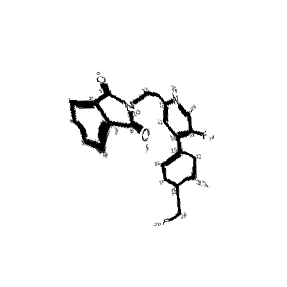 O=C1c2ccccc2C(=O)N1Cc1cc(C2=CCC(CF)CC2)c(F)cn1